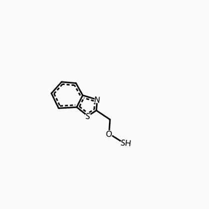 SOCc1nc2ccccc2s1